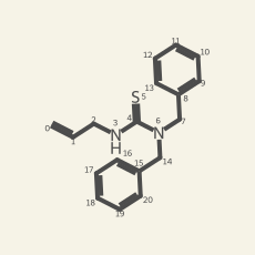 C=CCNC(=S)N(Cc1ccccc1)Cc1ccccc1